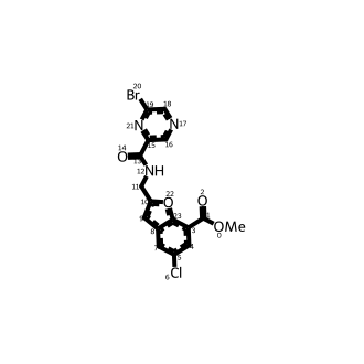 COC(=O)c1cc(Cl)cc2cc(CNC(=O)c3cncc(Br)n3)oc12